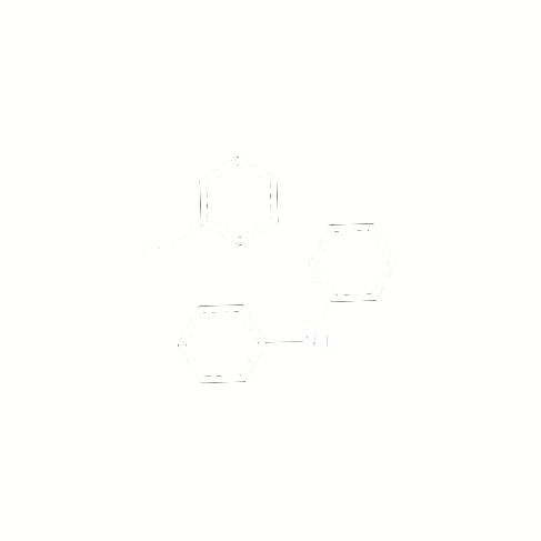 FC(F)(F)c1ccccc1.c1ccc(Nc2ccccc2)cc1